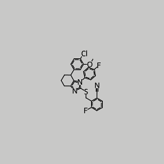 COc1cc(C2CCCc3nc(SCc4c(F)cccc4C#N)n(-c4ccc(F)cc4)c32)ccc1Cl